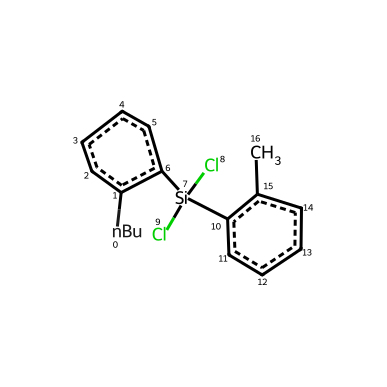 CCCCc1ccccc1[Si](Cl)(Cl)c1ccccc1C